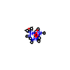 Cc1cc(C)c(B(c2nc(-n3c4ccccc4c4cc5c6ccccc6n(-c6nc(-c7ccccc7)nc(-c7ccccc7)n6)c5cc43)nc(-n3c4ccccc4c4c3ccc3c5ccccc5n(-c5nc(-c6ccccc6)nc(-c6ccccc6)n5)c34)n2)c2c(C)cc(C)cc2C)c(C)c1